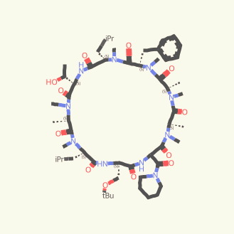 CC(C)C[C@H]1C(=O)N[C@@H](COC(C)(C)C)C(=O)NC(C(=O)N2CCCCC2)C(=O)N(C)[C@@H](C)C(=O)N(C)[C@@H](C)C(=O)N(C)[C@@H](Cc2ccccc2)C(=O)N(C)[C@@H](CC(C)C)C(=O)N[C@@H](C(C)O)C(=O)N(C)[C@@H](C)C(=O)N1C